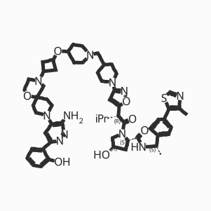 Cc1ncsc1-c1ccc([C@H](C)NC(=O)[C@@H]2C[C@@H](O)CN2C(=O)[C@@H](c2cc(N3CCC(CN4CCC(OC5CC(N6CCOC7(CCN(c8cc(-c9ccccc9O)nnc8N)CC7)C6)C5)CC4)CC3)no2)C(C)C)cc1